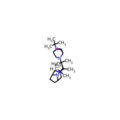 CC(C)N1CC2CCC(C1)N2C(C)(C)CC(C)(C)N1CC2CCC1CN2C(C)(C)C